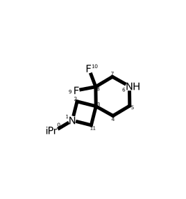 CC(C)N1CC2(CCNCC2(F)F)C1